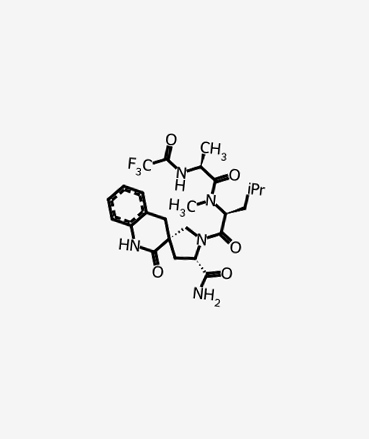 CC(C)C[C@@H](C(=O)N1C[C@]2(Cc3ccccc3NC2=O)C[C@H]1C(N)=O)N(C)C(=O)[C@H](C)NC(=O)C(F)(F)F